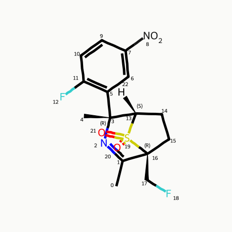 CC1=N[C@](C)(c2cc([N+](=O)[O-])ccc2F)[C@@H]2CC[C@@]1(CF)S2(=O)=O